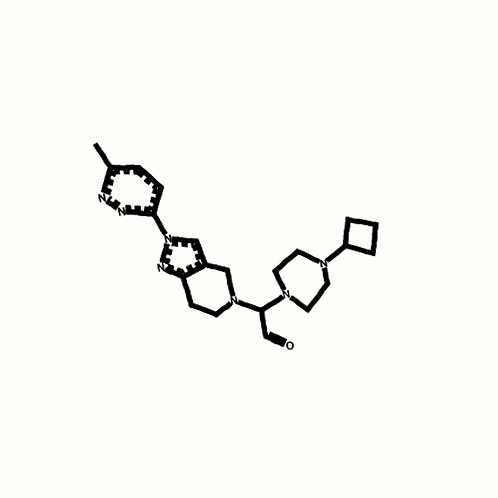 Cc1ccc(-n2cc3c(n2)CCN(C(C=O)N2CCN(C4CCC4)CC2)C3)nn1